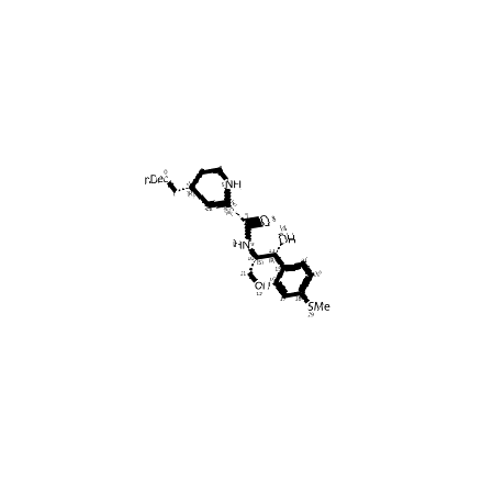 CCCCCCCCCCC[C@@H]1CCN[C@H](C(=O)N[C@@H](CO)[C@H](O)c2ccc(SC)cc2)C1